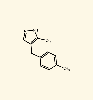 Cc1ccc(Cc2cn[nH]c2C(F)(F)F)cc1